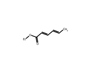 CC=CC=CC(=O)OCC